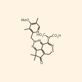 COc1c(C)cnc(CN2N=C3C(N(C(=O)O)C(=O)O)=NSCC4=C3C(=N2)C(C)(C)C4=O)c1C